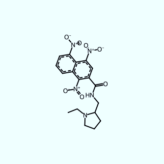 CCN1CCCC1CNC(=O)c1cc([N+](=O)[O-])c2c([N+](=O)[O-])cccc2c1[N+](=O)[O-]